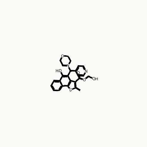 Cc1oc2c(c1C(=O)OCO)c(C(c1ccncc1)N1CCOCC1)c(O)c1ccccc12